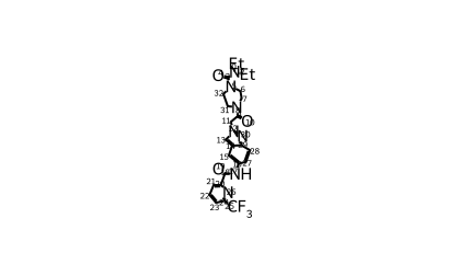 CCN(CC)C(=O)N1CCN(C(=O)Cn2cc3cc(NC(=O)c4cccc(C(F)(F)F)n4)ccc3n2)CC1